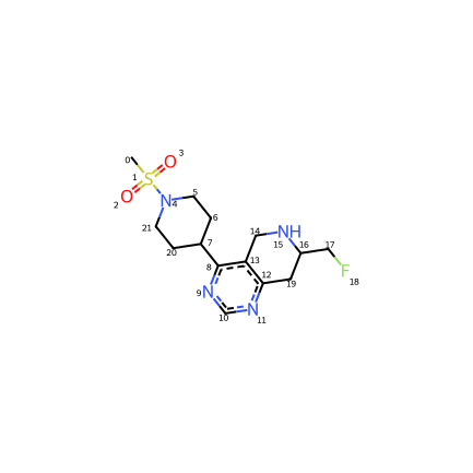 CS(=O)(=O)N1CCC(c2ncnc3c2CNC(CF)C3)CC1